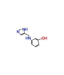 Oc1cccc(NCc2cnc[nH]2)c1